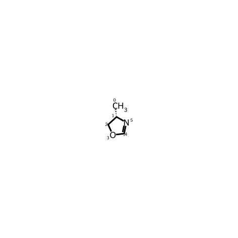 C[C@H]1CO[C]=N1